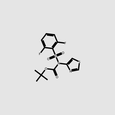 CC(C)(C)OC(=O)N(c1cscn1)S(=O)(=O)c1c(F)c[c]cc1F